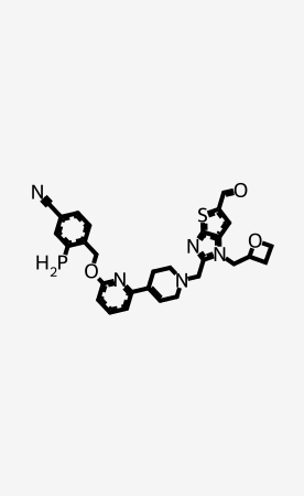 N#Cc1ccc(COc2cccc(C3=CCN(Cc4nc5sc(C=O)cc5n4CC4CCO4)CC3)n2)c(P)c1